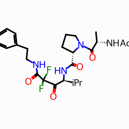 CC(=O)N[C@@H](C)C(=O)N1CCC[C@H]1C(=O)N[C@H](C(=O)C(F)(F)C(=O)NCCc1ccccc1)C(C)C